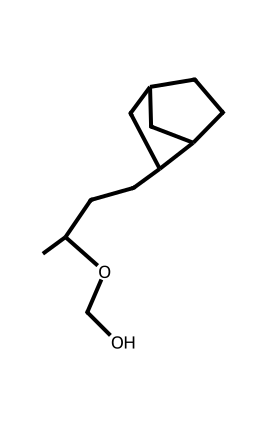 CC(CCC1CC2CCC1C2)OCO